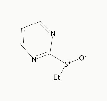 CC[S+]([O-])c1ncccn1